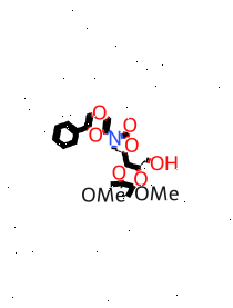 CO[C@]1(C)O[C@@H]([C@@H]2CN(C3=COC=C(C4=CC=CCC4)O3)C(=O)O2)[C@H](CO)O[C@@]1(C)OC